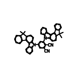 CC1(C)c2ccccc2-c2c1ccc1c2c2ccccc2n1-c1cc(C#N)c(C#N)c(-n2c3ccccc3c3c4c(ccc32)C(C)(C)c2ccccc2-4)c1